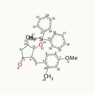 COc1ccc(C=C2C(=O)CC(C)C2O[Si](c2ccccc2)(c2ccccc2)C(C)(C)C)c(C)c1